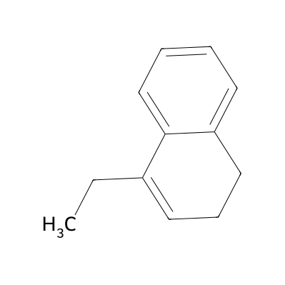 CCC1=CCCc2ccccc21